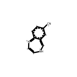 N#Cc1ccc2c(c1)=CNC=CN=2